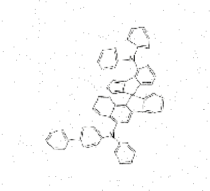 c1ccc(-c2ccc(N(c3ccccc3)c3cc4c(c5ccccc35)C3(c5ccccc5-4)c4ccccc4-c4c(N(c5ccccc5)c5ccccc5)cccc43)cc2)cc1